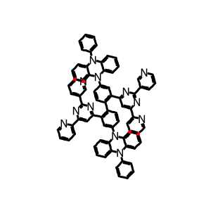 c1ccc(N2c3ccccc3N(c3ccc(-c4ccc(N5c6ccccc6N(c6ccccc6)c6ccccc65)cc4-c4cc(-c5ccccn5)nc(-c5cccnc5)n4)c(-c4cc(-c5ccccn5)nc(-c5cccnc5)n4)c3)c3ccccc32)cc1